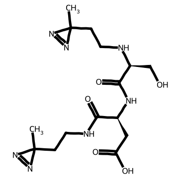 CC1(CCNC(=O)[C@H](CC(=O)O)NC(=O)[C@H](CO)NCCC2(C)N=N2)N=N1